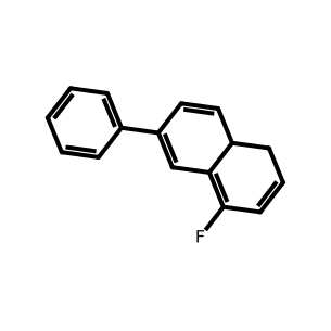 FC1=C2C=C(c3ccccc3)C=CC2CC=C1